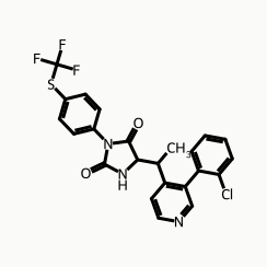 CC(c1ccncc1-c1ccccc1Cl)C1NC(=O)N(c2ccc(SC(F)(F)F)cc2)C1=O